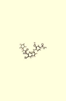 COC(=O)c1ccc(Cn2ccc3cc(Br)c(NC(=O)CC4CCCC4)cc32)c(OC)c1